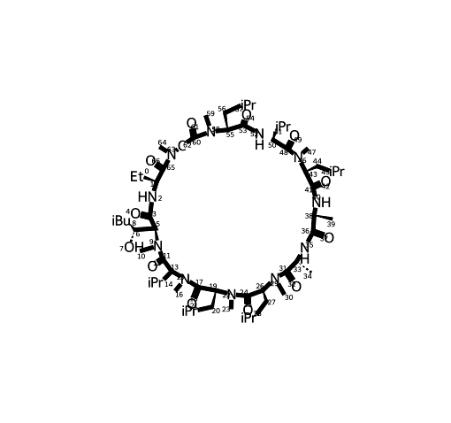 CC[C@@H]1NC(=O)[C@H]([C@H](O)[C@H](C)CC)N(C)C(=O)C(C(C)C)N(C)C(=O)[C@H](CC(C)C)N(C)C(=O)[C@H](CC(C)C)N(C)C(=O)[C@@H](C)NC(=O)[C@H](C)NC(=O)[C@H](CC(C)C)N(C)C(=O)[C@H](C(C)C)NC(=O)[C@H](CC(C)C)N(C)C(=O)CN(C)C1=O